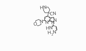 N#CC1(c2cc(N3CCOCC3)nc3c2cnn3C(=N)/C=C\N)CCNCC1